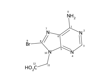 Nc1ncnc2c1nc(Br)n2CC(=O)O